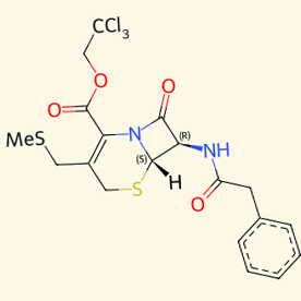 CSCC1=C(C(=O)OCC(Cl)(Cl)Cl)N2C(=O)[C@@H](NC(=O)Cc3ccccc3)[C@@H]2SC1